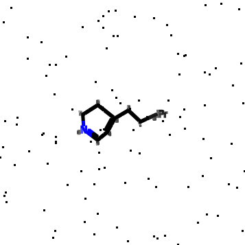 CC(C)CCC1=CC=NCC1